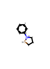 [c]1ccccc1N1CCCS1